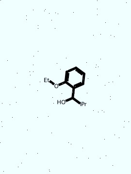 CCOc1ccccc1C(O)C(C)C